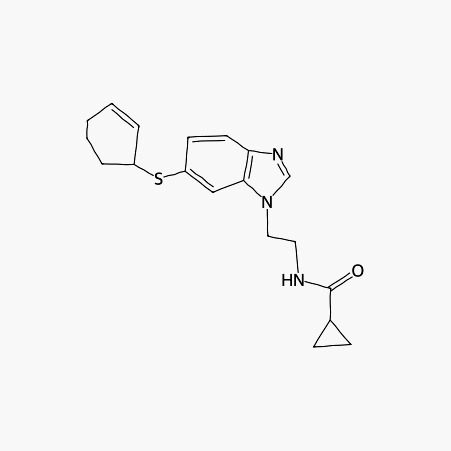 O=C(NCCn1cnc2ccc(SC3C=CCCC3)cc21)C1CC1